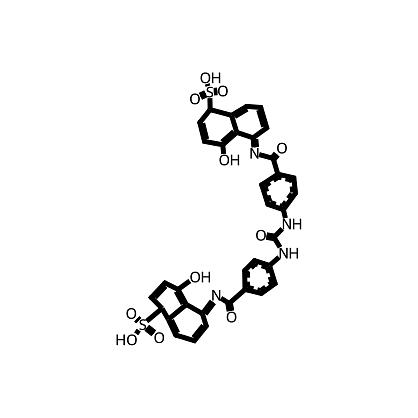 O=C(Nc1ccc(C(=O)N=C2C=CC=C3C2=C(O)C=CC3S(=O)(=O)O)cc1)Nc1ccc(C(=O)N=C2C=CC=C3C2=C(O)C=CC3S(=O)(=O)O)cc1